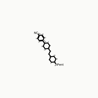 CCCCCC1CCC(CCC2CCC(c3ccc(C#N)cc3)CC2)CC1